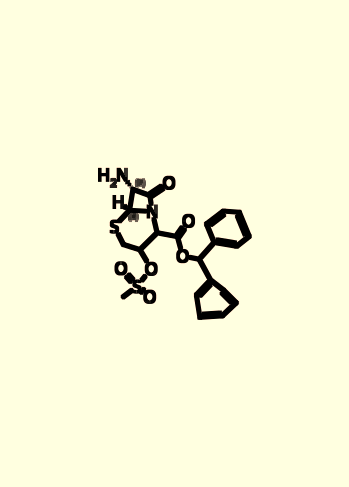 CS(=O)(=O)OC1CS[C@@H]2[C@H](N)C(=O)N2C1C(=O)OC(c1ccccc1)c1ccccc1